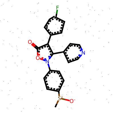 C[S+]([O-])c1ccc(-n2oc(=O)c(-c3ccc(F)cc3)c2-c2ccncc2)cc1